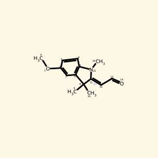 COc1ccc2c(c1)C(C)(C)/C(=C/C=O)N2C